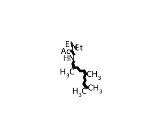 CCN(CC)C(CNCC=C(C)CCC=C(C)CCC=C(C)C)C(C)=O